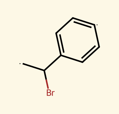 [CH2]C(Br)c1cc[c]cc1